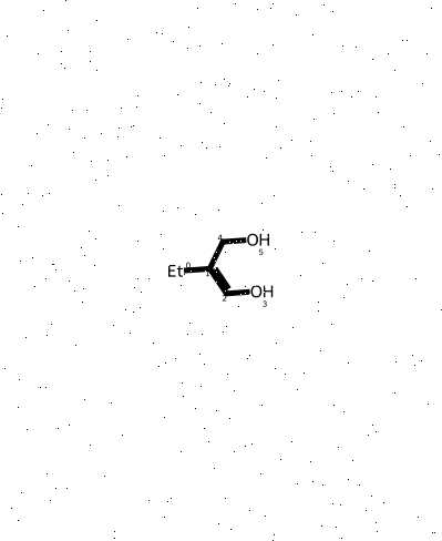 CCC(=CO)CO